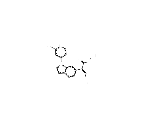 CO/C=C(/C(=O)OC)c1ccc2ccn(-c3ccnc(Cl)c3)c2c1